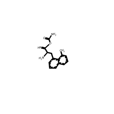 Cc1cccc2cccc(CC(N)C(=N)OC(N)=O)c12